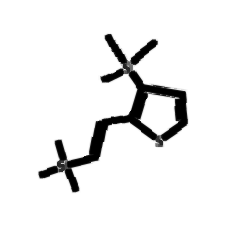 C[Si](C)(C)C=Cc1sccc1[Si](C)(C)C